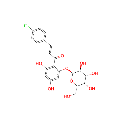 O=C(/C=C/c1ccc(Cl)cc1)c1c(O)cc(O)cc1O[C@@H]1O[C@@H](CO)[C@@H](O)[C@@H](O)[C@@H]1O